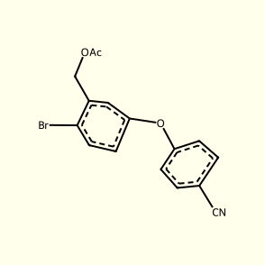 CC(=O)OCc1cc(Oc2ccc(C#N)cc2)ccc1Br